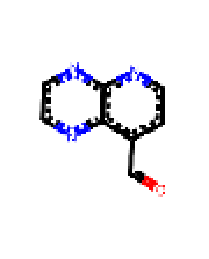 O=Cc1ccnc2nccnc12